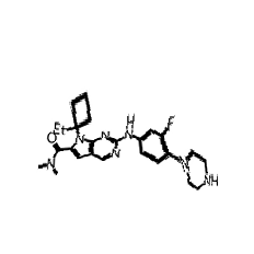 CCC1(n2c(C(=O)N(C)C)cc3cnc(Nc4ccc(N5CCNCC5)c(F)c4)nc32)CCC1